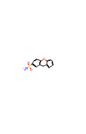 NS(=O)(=O)c1ccc2c(c1)Cc1ccccc1O2